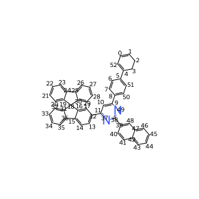 C1=CCCC(c2ccc(-c3cc(-c4ccc5c(c4)C4(c6ccccc6-c6ccccc64)c4ccccc4-5)nc(-c4ccc5ccccc5c4)n3)cc2)=C1